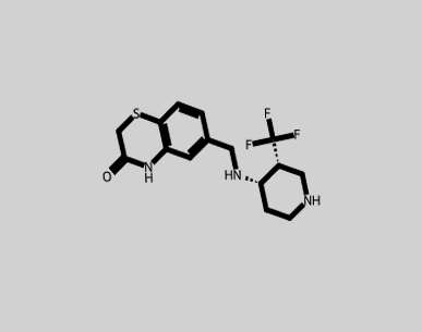 O=C1CSc2ccc(CN[C@H]3CCNC[C@H]3C(F)(F)F)cc2N1